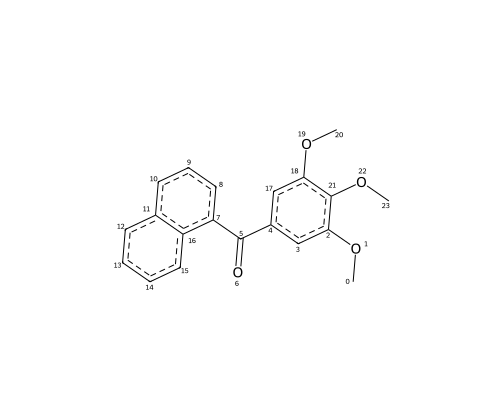 COc1cc(C(=O)c2cccc3ccccc23)cc(OC)c1OC